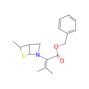 CC(C)=C(C(=O)OCc1ccccc1)N1CC2C(C)SC21